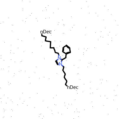 CCCCCCCCCCCCCCCCCCN1C=CN(CCCCCCCCCCCCCCCC)C1Cc1ccccc1